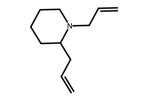 C=CCC1CCCCN1CC=C